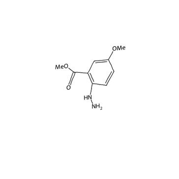 COC(=O)c1cc(OC)ccc1NN